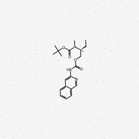 CC[C@@H](COC(=O)Nc1cc2ccccc2cn1)N(C)C(=O)OC(C)(C)C